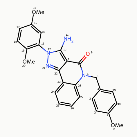 COc1ccc(Cn2c(=O)c3c(N)n(-c4cc(OC)ccc4OC)nc3c3ccccc32)cc1